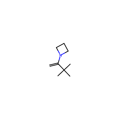 C=C(N1CCC1)C(C)(C)C